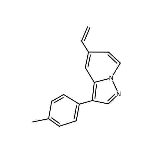 C=Cc1ccn2ncc(-c3ccc(C)cc3)c2c1